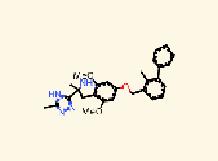 COc1cc(OCc2cccc(-c3ccccc3)c2C)cc(OC)c1CC(C)(N)c1nnc(C)[nH]1